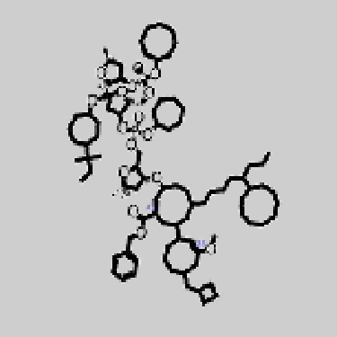 CCCC(CCCCC1CCC(O[C@@H]2C[C@H](C)OC2COP(=O)(OC2CCCCCC2)OC2C[C@H](C)O[C@@H]2COP(=O)(OC2CCCCCCC2)OC2C[C@H](C)O[C@@H]2COC2CCCC(C(C)(C)CC)CC2)/C=C(/C(=O)OCc2ccccc2)CC(C2/C=C(/OC)CC(CC3CCC3)CCC2)C1)C1CCCCCCCC1